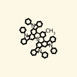 Cc1cc2c3c(c1)-c1c4c(cc5c6ccccc6n(-c6ccccc6)c5c4cc4c1c1ccccc1n4-c1ccccc1)B3c1cc3c4ccccc4n(-c4ccccc4)c3c3cc4c(c-2c13)c1ccccc1n4-c1ccccc1